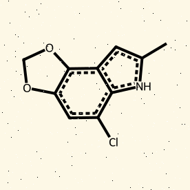 Cc1cc2c3c(cc(Cl)c2[nH]1)OCO3